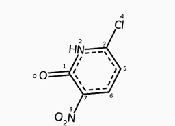 O=c1[nH]c(Cl)ccc1[N+](=O)[O-]